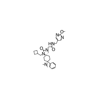 COc1ncc(CNC(=O)CN2C[C@]3(CC[C@@](c4ccccc4)(N(C)C)CC3)N(CC3CCC3)C2=O)cn1